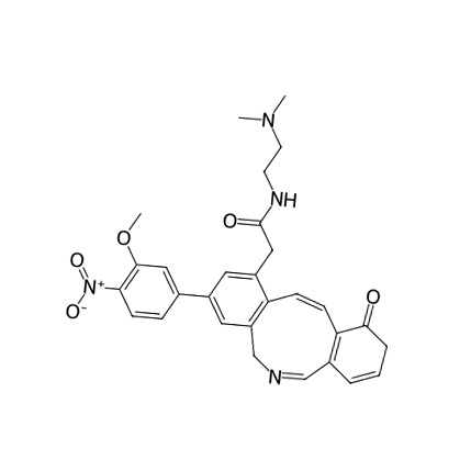 COc1cc(-c2cc3c(c(CC(=O)NCCN(C)C)c2)C=CC2=C(C=CCC2=O)C=NC3)ccc1[N+](=O)[O-]